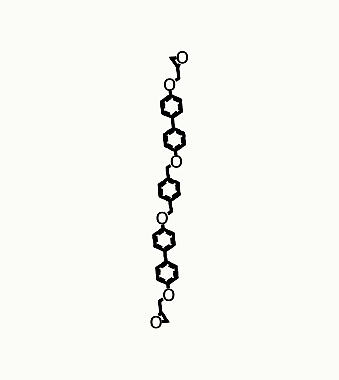 c1cc(COc2ccc(-c3ccc(OCC4CO4)cc3)cc2)ccc1COc1ccc(-c2ccc(OCC3CO3)cc2)cc1